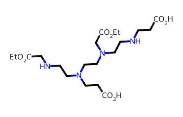 CCOC(=O)CNCCN(CCC(=O)O)CCN(CCNCCC(=O)O)CC(=O)OCC